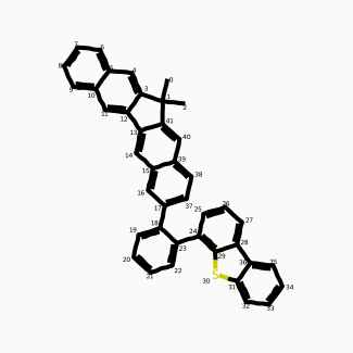 CC1(C)c2cc3ccccc3cc2-c2cc3cc(-c4ccccc4-c4cccc5c4sc4ccccc45)ccc3cc21